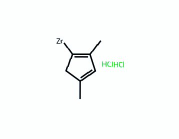 CC1=CC(C)=[C]([Zr])C1.Cl.Cl